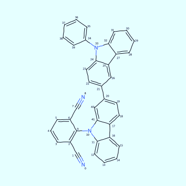 N#Cc1cccc(C#N)c1-n1c2ccccc2c2ccc(-c3ccc4c(c3)c3ccccc3n4-c3ccccc3)cc21